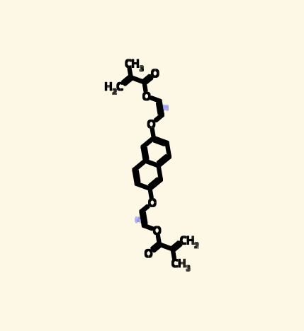 C=C(C)C(=O)O/C=C\Oc1ccc2cc(O/C=C\OC(=O)C(=C)C)ccc2c1